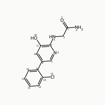 NC(=O)CNc1ncc(-c2ccccc2Cl)cc1O